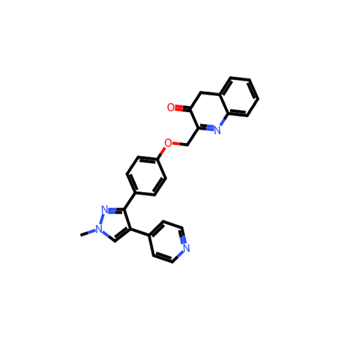 Cn1cc(-c2ccncc2)c(-c2ccc(OCC3=Nc4ccccc4CC3=O)cc2)n1